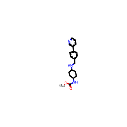 CC(C)(C)OC(=O)NC1CCC(NCc2ccc(-c3cccnc3)cc2)CC1